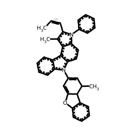 C/C=C\c1c(C)c2c3c4ccccc4n(C4=CC(C)C5C(=C4)Oc4ccccc45)c3ccc2n1-c1ccccc1